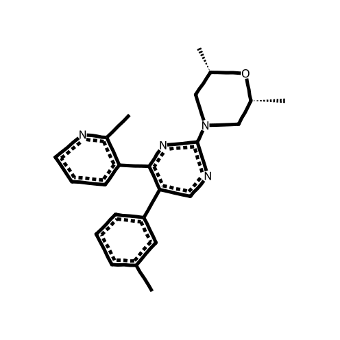 Cc1cccc(-c2cnc(N3C[C@@H](C)O[C@@H](C)C3)nc2-c2cccnc2C)c1